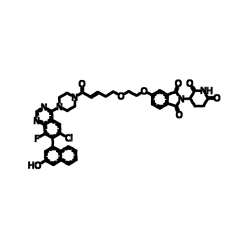 O=C1CCC(N2C(=O)c3ccc(OCCOCC/C=C/C(=O)N4CCN(c5ncnc6c(F)c(-c7cc(O)cc8ccccc78)c(Cl)cc56)CC4)cc3C2=O)C(=O)N1